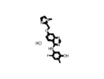 Cc1cc(F)c(Nc2ncnc3cc(OCc4nccn4C)ccc23)cc1O.Cl